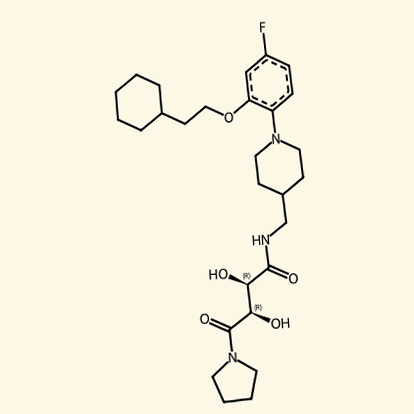 O=C(NCC1CCN(c2ccc(F)cc2OCCC2CCCCC2)CC1)[C@H](O)[C@@H](O)C(=O)N1CCCC1